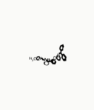 CC1CCN(CCNC(=O)c2cccc(OC3CCCN(CC(c4ccccc4)c4ccccc4)C3)c2)CC1